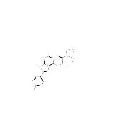 CC[C@H](Nc1ncnc2c1nc(-c1cnc(C)nc1)n2CC)C(=O)N1CCS[C@H]1C